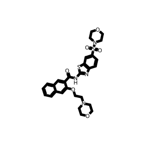 O=C(Nc1nc2ccc(S(=O)(=O)N3CCOCC3)cc2s1)c1cc2ccccc2cc1OCCN1CCOCC1